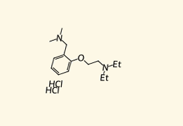 CCN(CC)CCOc1ccccc1CN(C)C.Cl.Cl